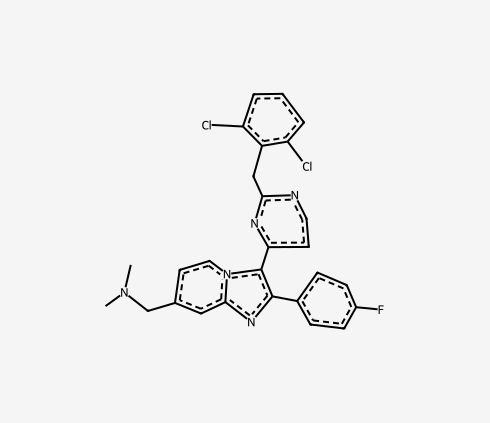 CN(C)Cc1ccn2c(-c3ccnc(Cc4c(Cl)cccc4Cl)n3)c(-c3ccc(F)cc3)nc2c1